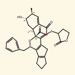 C[C@H]1C=C2C(=O)C=C3C4=C(C5=C(CCC5)C4)N(Cc4ccccc4)O[C@]3(C(=O)CSC3CCOC3=O)[C@@]2(C)C[C@@H]1O